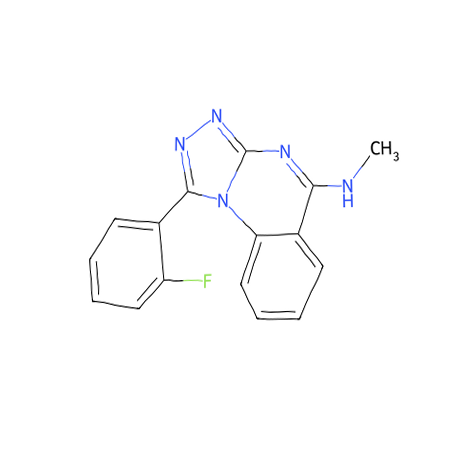 CNc1nc2nnc(-c3ccccc3F)n2c2ccccc12